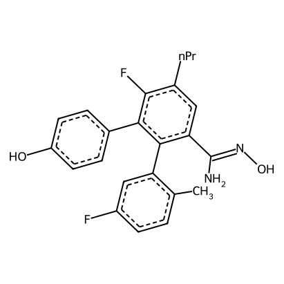 CCCc1cc(/C(N)=N/O)c(-c2cc(F)ccc2C)c(-c2ccc(O)cc2)c1F